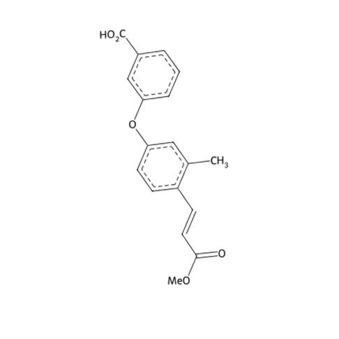 COC(=O)C=Cc1ccc(Oc2cccc(C(=O)O)c2)cc1C